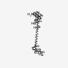 CN(Cc1cnc2nc(N)nc(N)c2n1)c1ccc(C(=O)N[C@@H](CCC(=O)NCCCCCCCCCCCCCCNc2cccc3c2CN(C2CCC(=O)NC2=O)C3=O)C(=O)O)cc1